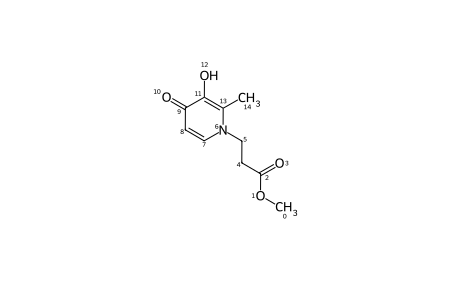 COC(=O)CCn1ccc(=O)c(O)c1C